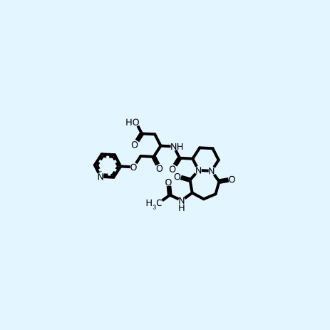 CC(=O)NC1CCC(=O)N2CCCC(C(=O)NC(CC(=O)O)C(=O)COc3cccnc3)N2C1=O